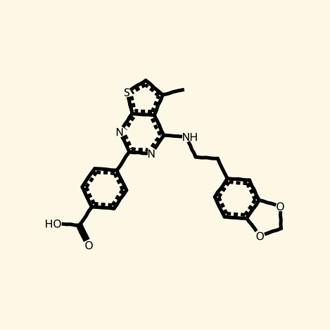 Cc1csc2nc(-c3ccc(C(=O)O)cc3)nc(NCCc3ccc4c(c3)OCO4)c12